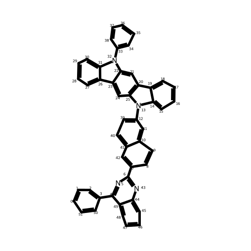 c1ccc(-c2nc(-c3ccc4cc(-n5c6ccccc6c6cc7c(cc65)c5ccccc5n7-c5ccccc5)ccc4c3)nc3ccccc23)cc1